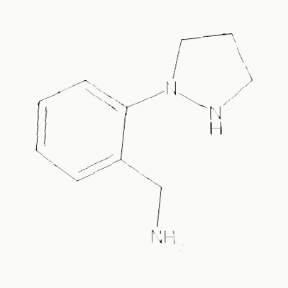 NCc1ccccc1N1CCCN1